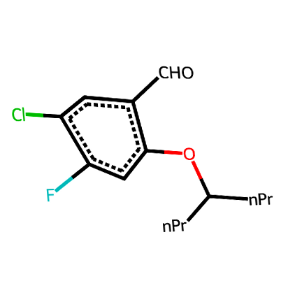 CCCC(CCC)Oc1cc(F)c(Cl)cc1C=O